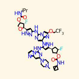 CC(C)NC(=O)O[C@@H]1CO[C@H](c2cc(Nc3ncc(-[n+]4[nH]c([C@H]5C[C@@H](F)[C@@H](OC(=O)NC67CC(C6)C7)C5)cc4Nc4nc(N5CCN(C)CC5)cc5nccn45)c4nc(OCC(F)(F)F)cn34)n[nH]2)[C@H]1F